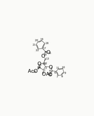 CC(=O)OC1C(OC(=O)c2ccccc2)[C@H](COC(=O)c2ccccc2)O[C@@H]1OC(C)=O